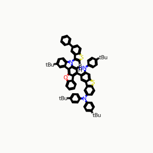 CC(C)(C)c1ccc(Nc2cc3sc4ccc(N(c5ccc(C(C)(C)C)cc5)c5ccc(C(C)(C)C)cc5)cc4c3cc2-c2c3c4c(c5cc(C(C)(C)C)ccc5n4-c4c(sc5ccc(-c6ccccc6)cc45)B3)c3oc4ccccc4c23)cc1